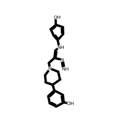 N=N/C(=C\Nc1ccc(O)cc1)CN1CCC(c2cccc(O)c2)CC1